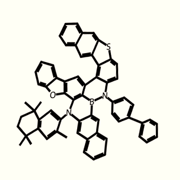 Cc1cc2c(cc1N1c3cc4ccccc4cc3B3c4c(cc5c(oc6ccccc65)c41)-c1c(ccc4sc5cc6ccccc6cc5c14)N3c1ccc(-c3ccccc3)cc1)C(C)(C)CCC2(C)C